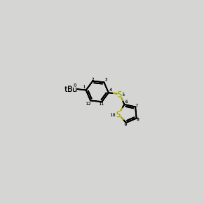 CC(C)(C)c1ccc(Sc2cccs2)cc1